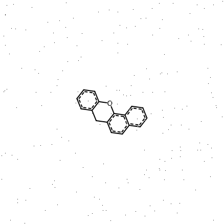 c1ccc2c(c1)Cc1ccc3ccccc3c1O2